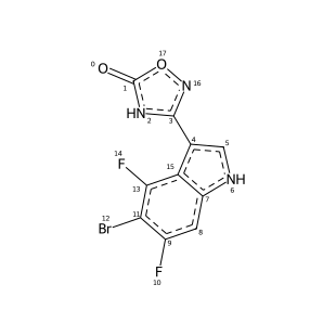 O=c1[nH]c(-c2c[nH]c3cc(F)c(Br)c(F)c23)no1